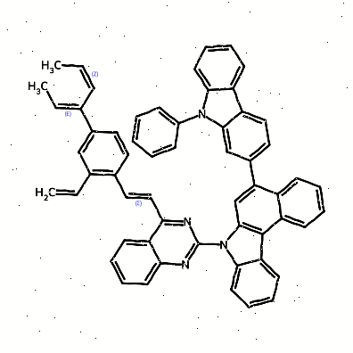 C=Cc1cc(C(/C=C\C)=C/C)ccc1/C=C/c1nc(-n2c3ccccc3c3c4ccccc4c(-c4ccc5c6ccccc6n(-c6ccccc6)c5c4)cc32)nc2ccccc12